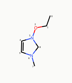 CCON1C=CN(C)C1